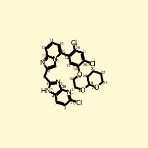 Clc1ccc2[nH]c(Cc3cn4c(-c5cc(OCCOC6CCCCO6)c(Cl)cc5Cl)cccc4n3)nc2n1